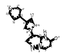 O=c1ccn2ncc(-n3cc(-c4ccncc4)cn3)c2[nH]1